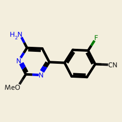 COc1nc(N)cc(-c2ccc(C#N)c(F)c2)n1